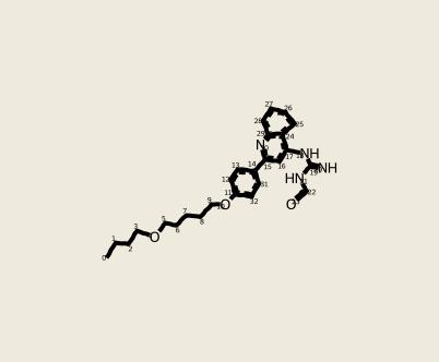 CCCCOCCCCCOc1ccc(-c2cc(NC(=N)NC=O)c3ccccc3n2)cc1